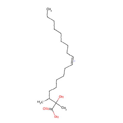 CCCCCCCC/C=C\CCCCCC(C)C(C)(O)C(=O)O